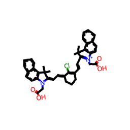 CC1(C)C(/C=C/C2=C(Cl)C(=C/C=C3/N(CC(=O)O)c4ccc5ccccc5c4C3(C)C)/CCC2)=[N+](CC(=O)O)c2ccc3ccccc3c21